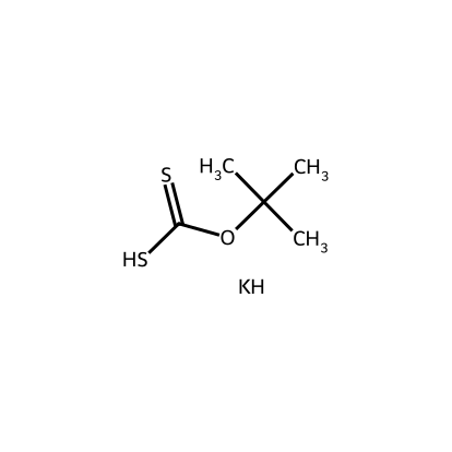 CC(C)(C)OC(=S)S.[KH]